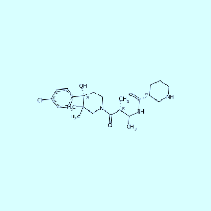 CC(NC(=O)[C@@H]1CCCNC1)[C@@H](C)C(=O)N1CC[C@](O)(c2ccc(Cl)cc2)C(C)(C)C1